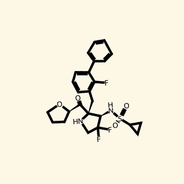 O=C([C@H]1CCCO1)[C@@]1(Cc2cccc(-c3ccccc3)c2F)NCC(F)(F)[C@@H]1NS(=O)(=O)C1CC1